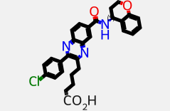 O=C(O)CCCCc1nc2cc(C(=O)N[C@H]3CCOc4ccccc43)ccc2nc1-c1ccc(Cl)cc1